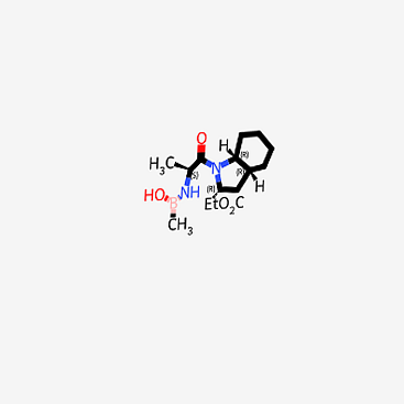 CCOC(=O)[C@H]1C[C@H]2CCCC[C@H]2N1C(=O)[C@H](C)NB(C)O